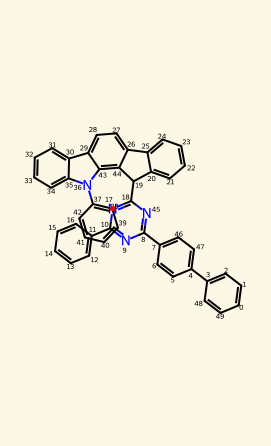 c1ccc(-c2ccc(-c3nc(-c4ccccc4)nc(C4c5ccccc5-c5ccc6c7ccccc7n(-c7ccccc7)c6c54)n3)cc2)cc1